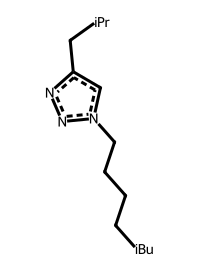 CCC(C)CCCCn1cc(CC(C)C)nn1